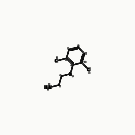 NCCSc1c(Cl)cccc1Cl